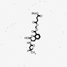 COC(=O)CCC(=O)OCOC(=O)c1cccc2c1OB(O)[C@@H](NC(=O)CC(C)(F)F)C2